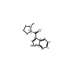 CN1CCC[C@@H]1C(=O)c1c[nH]c2ccccc12